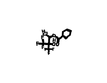 CC(OC(=O)C1CC=CCC1)C(O)(C(F)(F)F)C(F)(F)F